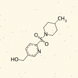 CC1CCN(S(=O)(=O)c2ccc(CO)cn2)CC1